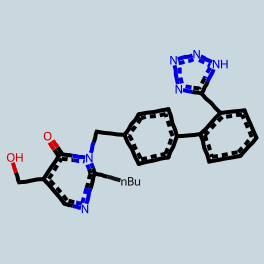 CCCCc1ncc(CO)c(=O)n1Cc1ccc(-c2ccccc2-c2nnn[nH]2)cc1